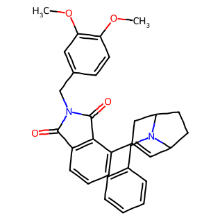 COc1ccc(CN2C(=O)c3cccc(C4=CC5CCC(C4)N5Cc4ccccc4)c3C2=O)cc1OC